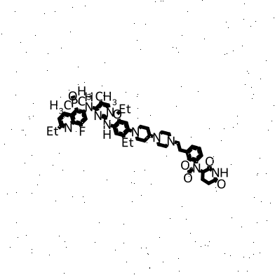 CCOc1cc(N2CCC(N3CCN(CCc4cccc5c4oc(=O)n5C4CCC(=O)NC4=O)CC3)CC2)c(CC)cc1Nc1ncc(C)c(Nc2cc(F)c3nc(CC)ccc3c2P(C)(C)=O)n1